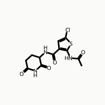 CC(=O)Nc1sc(Cl)cc1C(=O)NC1CCC(=O)NC1=O